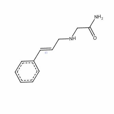 NC(=O)CNC/C=C/c1ccccc1